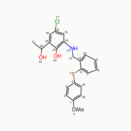 COc1ccc(Sc2ccccc2CNc2cc(Cl)cc(C(C)O)c2O)cc1